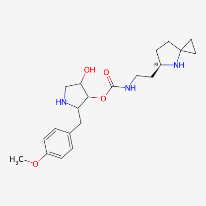 COc1ccc(CC2NCC(O)C2OC(=O)NCC[C@H]2CCC3(CC3)N2)cc1